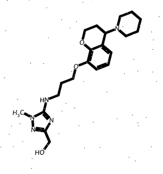 Cn1nc(CO)nc1NCCCOc1cccc2c1OCCC2N1CCCCC1